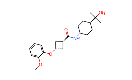 COc1ccccc1O[C@H]1C[C@H](C(=O)N[C@H]2CC[C@H](C(C)(C)O)CC2)C1